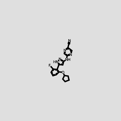 N#Cc1cnc(Nc2cc(-c3c(F)cccc3OC3CCCC3)[nH]n2)cn1